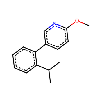 COc1ccc(-c2ccccc2C(C)C)cn1